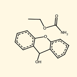 CCOC(N)=O.OC1c2ccccc2Oc2ccccc21